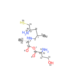 CCC(C)C(CN[C@H](C(=O)OC(=O)[C@@H](N)CCO)[C@@H](C)CC)C[C@@H](N)CS